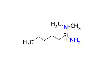 CCCCC[SiH](N)N(C)C